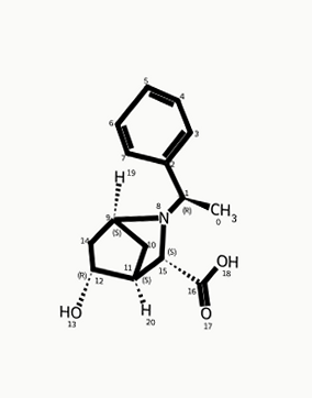 C[C@H](c1ccccc1)N1[C@H]2C[C@H]([C@H](O)C2)[C@H]1C(=O)O